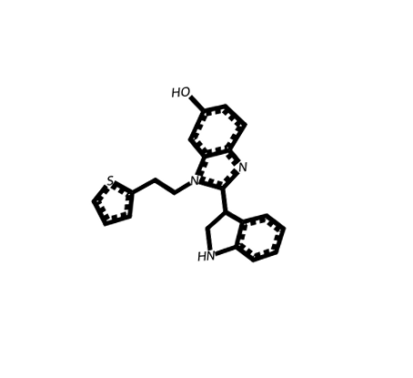 Oc1ccc2nc(C3CNc4ccccc43)n(CCc3cccs3)c2c1